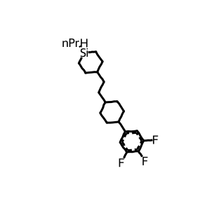 CCC[SiH]1CCC(CCC2CCC(c3cc(F)c(F)c(F)c3)CC2)CC1